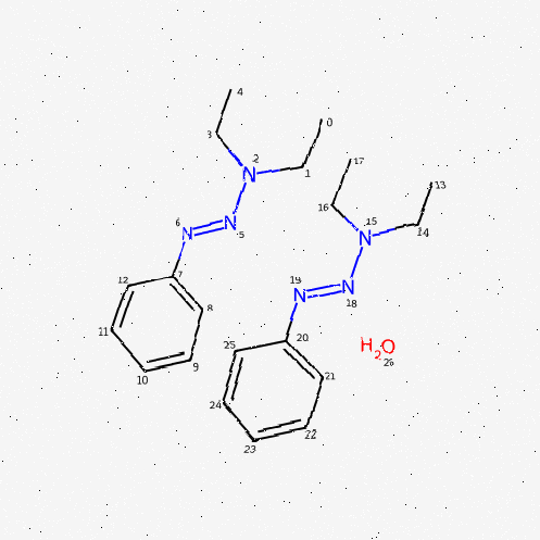 CCN(CC)N=Nc1ccccc1.CCN(CC)N=Nc1ccccc1.O